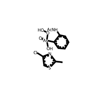 CC(=O)Nc1ccccc1[As](=O)(O)OO.Cc1nc(Cl)cs1